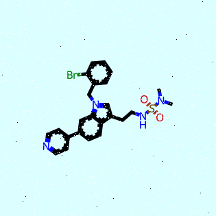 CN(C)S(=O)(=O)NCCc1cn(Cc2ccccc2Br)c2cc(-c3ccncc3)ccc12